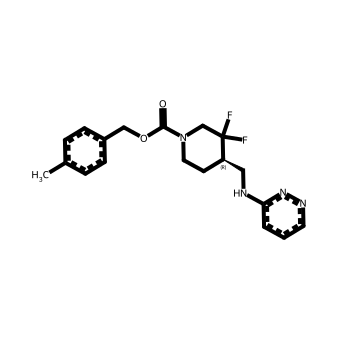 Cc1ccc(COC(=O)N2CC[C@H](CNc3cccnn3)C(F)(F)C2)cc1